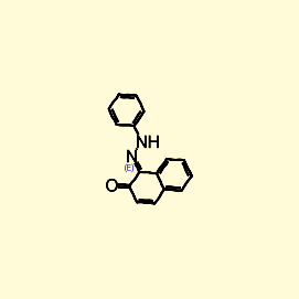 O=C1C=Cc2ccccc2/C1=N\Nc1ccccc1